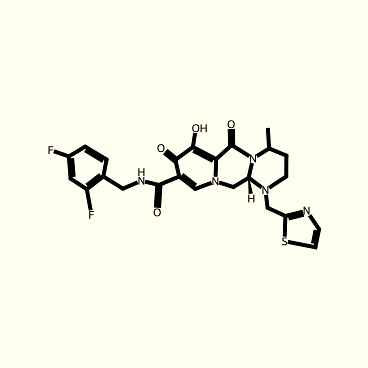 CC1CCN(Cc2nccs2)[C@@H]2Cn3cc(C(=O)NCc4ccc(F)cc4F)c(=O)c(O)c3C(=O)N12